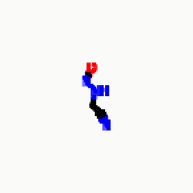 N#CCNN=O